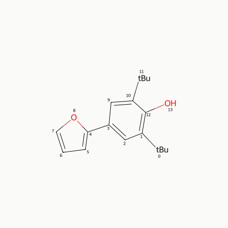 CC(C)(C)c1cc(-c2ccco2)cc(C(C)(C)C)c1O